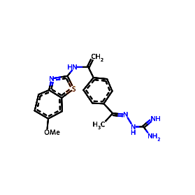 C=C(Nc1nc2ccc(OC)cc2s1)c1ccc(/C(C)=N/NC(=N)N)cc1